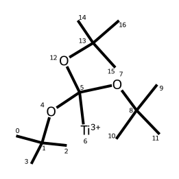 CC(C)(C)O[C]([Ti+3])(OC(C)(C)C)OC(C)(C)C